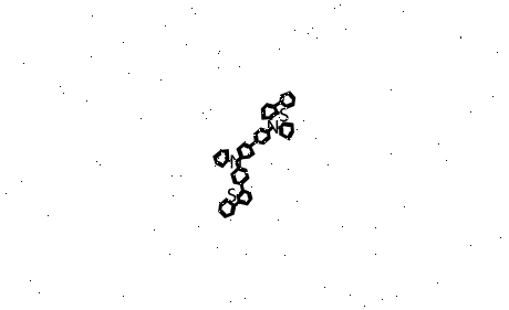 c1ccc(N(c2ccc(-c3ccc(N(c4ccccc4)c4cccc5c4sc4ccccc45)cc3)cc2)c2ccc(-c3cccc4c3sc3ccccc34)cc2)cc1